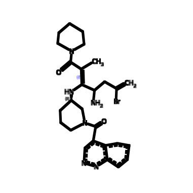 C=C(Br)CC(N)/C(N[C@@H]1CCCN(C(=O)c2cnnc3ccccc23)C1)=C(\C)C(=O)N1CCCCC1